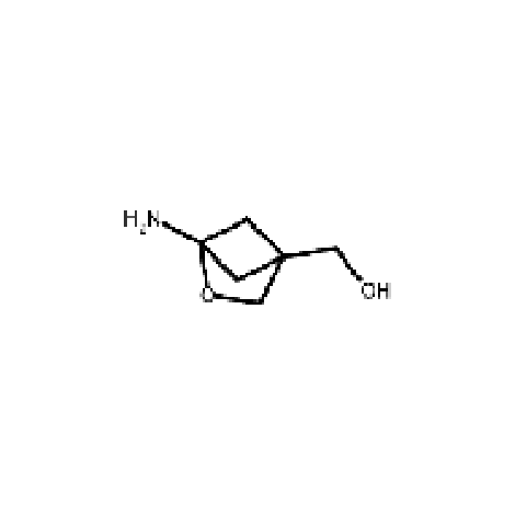 NC12CC(CO)(CO1)C2